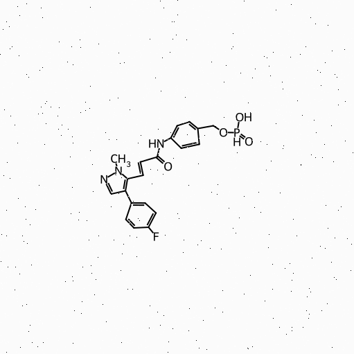 Cn1ncc(-c2ccc(F)cc2)c1/C=C/C(=O)Nc1ccc(CO[PH](=O)O)cc1